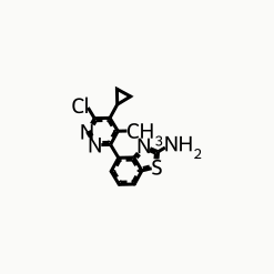 Cc1c(-c2cccc3sc(N)nc23)nnc(Cl)c1C1CC1